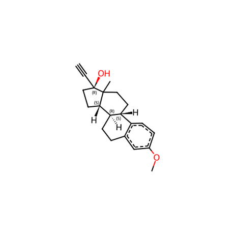 C#C[C@@]1(O)CC[C@H]2[C@@H]3CCc4cc(OC)ccc4[C@H]3CCC21C